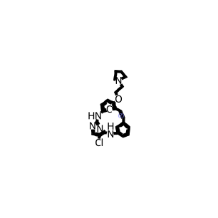 Clc1cnc2nc1Nc1cccc(c1)/C=C\c1cc(ccc1OCCN1CCCC1)N2